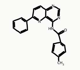 Cc1ccc(C(=O)Nc2ncnc3ccc(-c4ccccc4)nc23)cc1